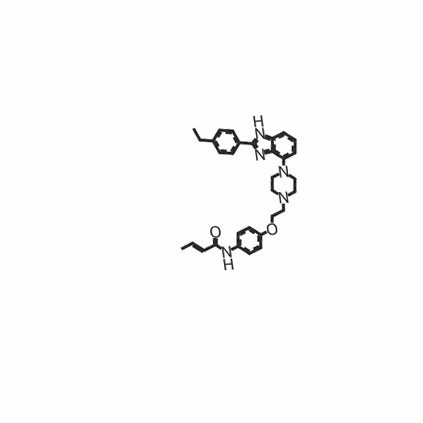 C/C=C/C(=O)Nc1ccc(OCCN2CCN(c3cccc4[nH]c(-c5ccc(CC)cc5)nc34)CC2)cc1